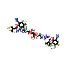 N#Cc1cc(F)c(Cl)cc1O[C@H](CCNCCCOC(=O)C(=O)OCCCNCC[C@@H](Oc1cc(Cl)c(F)cc1C#N)c1ccsc1)c1ccsc1